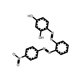 O=[N+]([O-])c1ccc(/N=N/c2ccccc2/N=N/c2ccc(O)cc2O)cc1